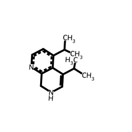 CC(C)C1=CNCc2nccc(C(C)C)c21